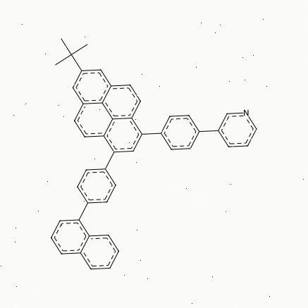 CC(C)(C)c1cc2ccc3c(-c4ccc(-c5cccnc5)cc4)cc(-c4ccc(-c5cccc6ccccc56)cc4)c4ccc(c1)c2c34